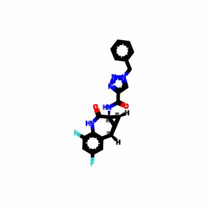 O=C(N[C@@]12C(=O)Nc3c(F)cc(F)cc3[C@@H]3C1[C@@H]32)c1cn(Cc2ccccc2)nn1